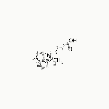 CC1=[N+](CCCCCC(=O)O)c2cccc3cccc1c23.[I-]